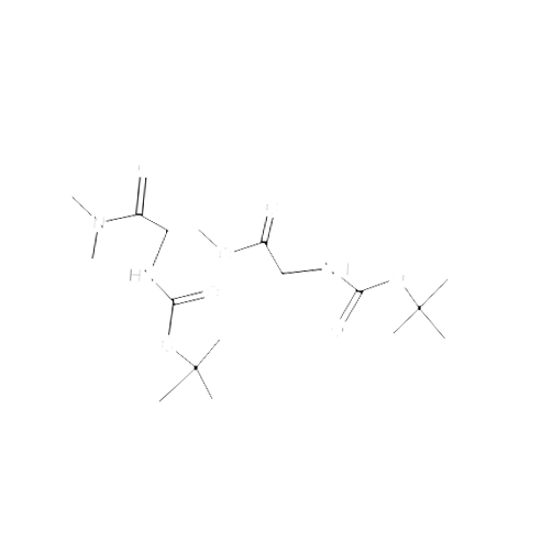 CN(C)C(=O)[C@H](COC(=O)CNC(=O)OC(C)(C)C)NC(=O)OC(C)(C)C